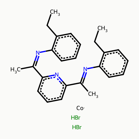 Br.Br.CCc1ccccc1N=C(C)c1cccc(C(C)=Nc2ccccc2CC)n1.[Co]